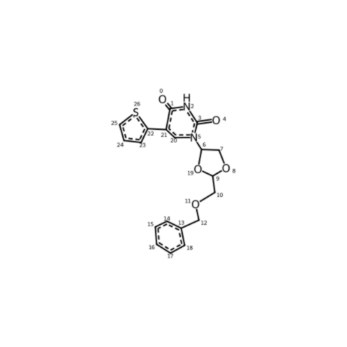 O=c1[nH]c(=O)n(C2COC(COCc3ccccc3)O2)cc1-c1cccs1